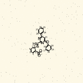 O=[N+]([O-])c1ccccc1SNc1nc(Oc2ccccc2)cc(-c2ccccc2)n1